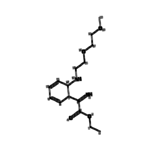 CCOC(=O)C(=N)C1C=CC=CC1NCCOCCOC